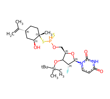 C=C(C)[C@@H]1CC[C@](C)(S[PH](=S)OC[C@H]2O[C@@H](n3ccc(=O)[nH]c3=O)[C@H](F)C2O[Si](C)(C)C(C)(C)C)[C@@H](O)C1